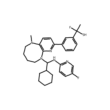 CN1CCCCN(C(Nc2ccc(F)cn2)C2CCCCC2)c2nc(-c3cccc(C(C)(F)S)c3)ccc21